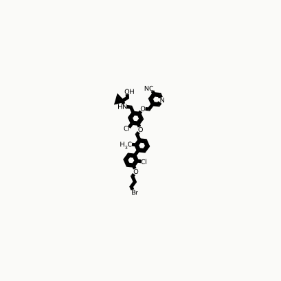 Cc1c(COc2cc(OCc3cncc(C#N)c3)c(CNC3(CO)CC3)cc2Cl)cccc1-c1cccc(OCCCBr)c1Cl